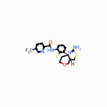 NC1=N[C@@]2(c3cccc(NC(=O)c4ccc(C(F)(F)F)cn4)c3F)CCOC[C@H]2CS1